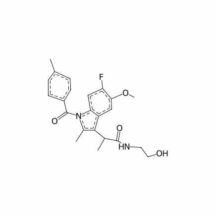 COc1cc2c(C(C)C(=O)NCCO)c(C)n(C(=O)c3ccc(C)cc3)c2cc1F